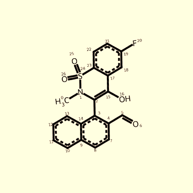 CN1C(c2c(C=O)ccc3ccccc23)=C(O)c2cc(F)ccc2S1(=O)=O